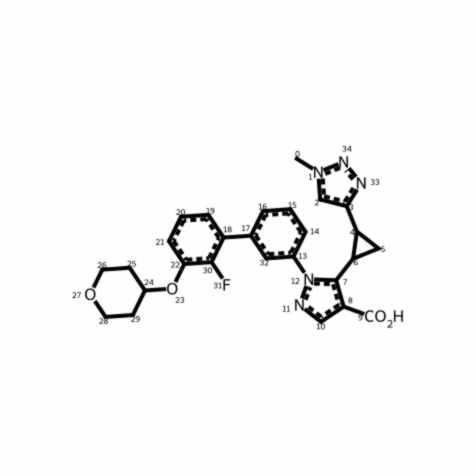 Cn1cc(C2CC2c2c(C(=O)O)cnn2-c2cccc(-c3cccc(OC4CCOCC4)c3F)c2)nn1